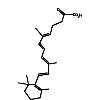 CC(C=CC1=C(C)CCCC1(C)C)=CC=CC(C)=CCCC(=O)C(=O)O